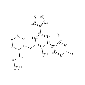 CCOC(=O)C1=C(CN2CCOC[C@@H]2CCC(=O)O)NC(c2nccs2)=N[C@H]1c1ccc(F)cc1Br